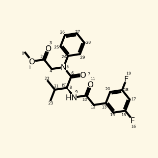 COC(=O)CN(C(=O)[C@@H](NC(=O)Cc1cc(F)cc(F)c1)C(C)C)c1ccccc1